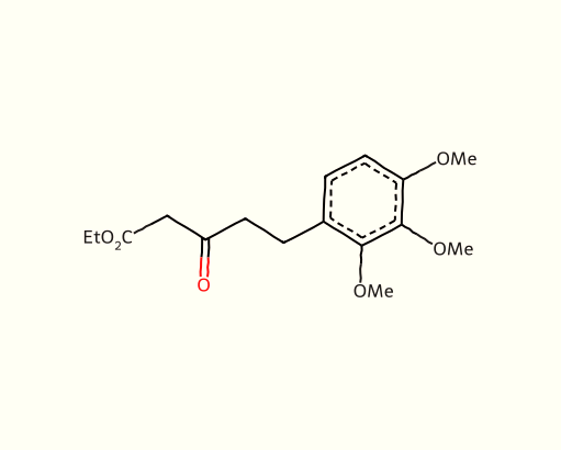 CCOC(=O)CC(=O)CCc1ccc(OC)c(OC)c1OC